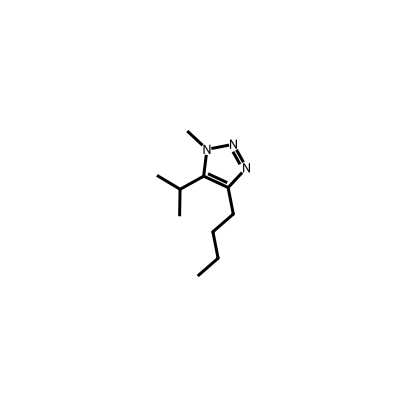 CCCCc1nnn(C)c1C(C)C